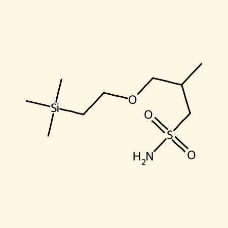 CC(COCC[Si](C)(C)C)CS(N)(=O)=O